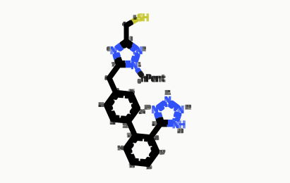 CCCCCn1nc(CS)nc1Cc1ccc(-c2ccccc2-c2nnn[nH]2)cc1